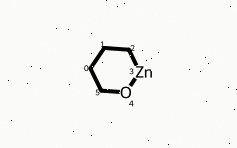 C1C[CH2][Zn][O]C1